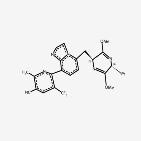 COC1=N[C@H](C(C)C)C(OC)=N[C@H]1Cc1ccc(-c2nc(C)c(C#N)cc2C(F)(F)F)c2nccn12